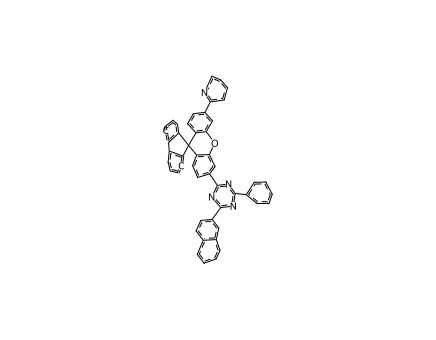 c1ccc(-c2nc(-c3ccc4c(c3)Oc3cc(-c5ccccn5)ccc3C43c4ccccc4-c4ccccc43)nc(-c3ccc4ccccc4c3)n2)cc1